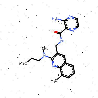 COCCN(C)c1nc2c(C)cccc2cc1CNC(=O)c1nccnc1N